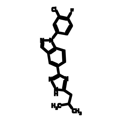 CC(C)Cc1nc(-c2ccc3c(cnn3-c3ccc(F)c(Cl)c3)c2)n[nH]1